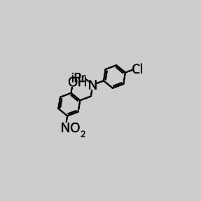 CC(C)N(Cc1cc([N+](=O)[O-])ccc1O)c1ccc(Cl)cc1